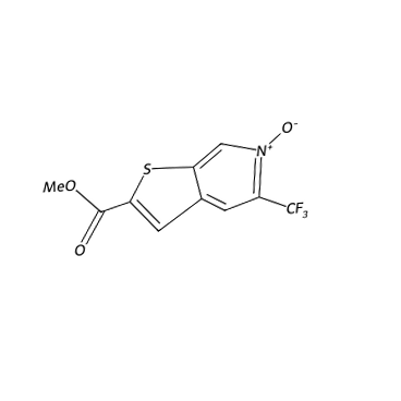 COC(=O)c1cc2cc(C(F)(F)F)[n+]([O-])cc2s1